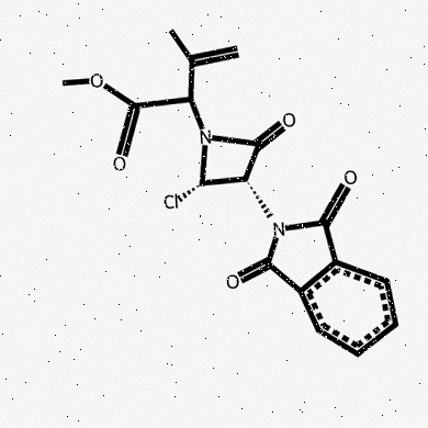 C=C(C)C(C(=O)OC)N1C(=O)[C@H](N2C(=O)c3ccccc3C2=O)[C@@H]1Cl